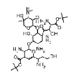 CN[C@@H]1[C@@H](O)[C@@H](O[C@@H]2[C@@H](O)[C@H](O[C@H]3OC(C(N)CCO)=CC(C(=O)OC(C)(C)C)[C@H]3N)[C@@H](N)C[C@]2(N)C(=O)C(O)C(N)C(=O)OC(C)(C)C)OC[C@]1(C)O